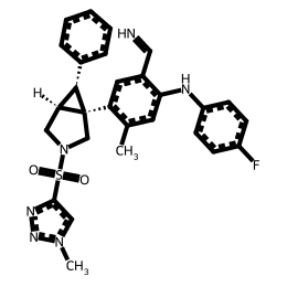 Cc1cc(Nc2ccc(F)cc2)c(C=N)cc1[C@]12CN(S(=O)(=O)c3cn(C)nn3)C[C@H]1[C@@H]2c1ccccc1